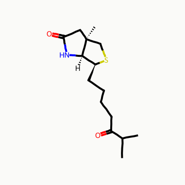 CC(C)C(=O)CCCC[C@@H]1SC[C@]2(C)CC(=O)N[C@H]12